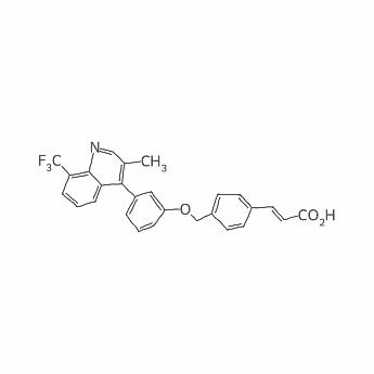 Cc1cnc2c(C(F)(F)F)cccc2c1-c1cccc(OCc2ccc(C=CC(=O)O)cc2)c1